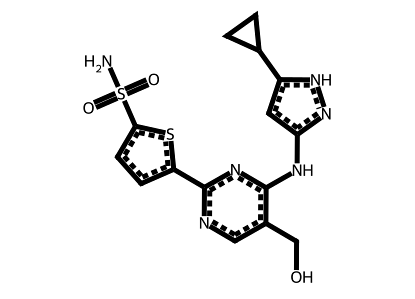 NS(=O)(=O)c1ccc(-c2ncc(CO)c(Nc3cc(C4CC4)[nH]n3)n2)s1